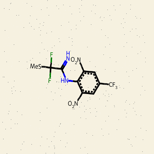 CSC(F)(F)C(=N)Nc1c([N+](=O)[O-])cc(C(F)(F)F)cc1[N+](=O)[O-]